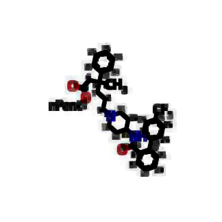 CCCCCOC(=O)CC(C)(CCCN1CCC(NC(=O)c2ccccc2-c2ccc(C(F)(F)F)cc2)CC1)c1ccccc1